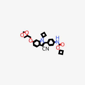 N#Cc1c(-c2ccc(NC(=O)OC3CCC3)cc2)n(C2CCC2)c2cc(OCC3COCO3)ccc12